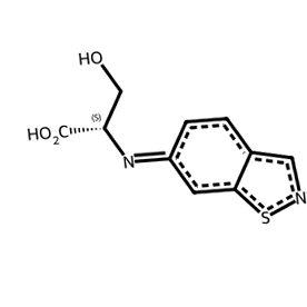 O=C(O)[C@H](CO)N=c1ccc2c[nH]sc-2c1